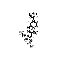 CCCCOC(=O)N1CCN(C(=O)C(N)CP(=O)(OOCC)OOCC)CC1